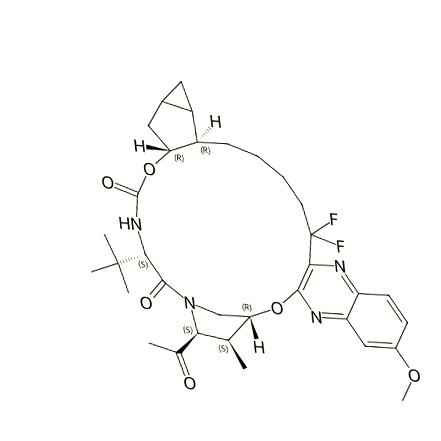 COc1ccc2nc3c(nc2c1)O[C@H]1CN(C(=O)[C@H](C(C)(C)C)NC(=O)O[C@@H]2CC4CC4[C@H]2CCCCC3(F)F)[C@H](C(C)=O)[C@@H]1C